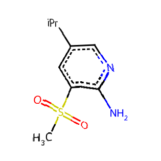 CC(C)c1cnc(N)c(S(C)(=O)=O)c1